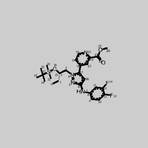 CC[C@@H](Cn1nc(Nc2ccc(F)c(F)c2)cc1-c1ccnc(C(=O)OC)c1)O[Si](C)(C)C(C)(C)C